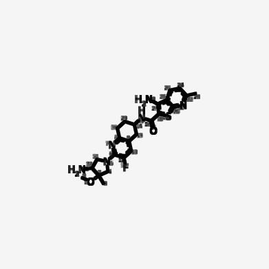 COC1(C)CN(c2nc3c(cc2F)CC(NC(=O)c2sc4nc(C)ccc4c2N)CC3)CC1N